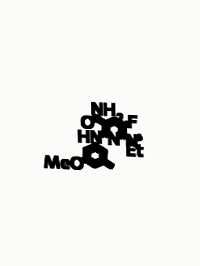 CCN(C)c1nc(Nc2cc(C)cc(OC)c2)c(C(N)=O)cc1F